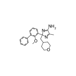 COc1c(-c2ccccc2)cccc1C1(CC2CCOCC2)N=C(C)C(N)=N1